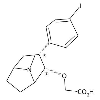 CN1C2CCC1[C@@H](OCC(=O)O)[C@@H](c1ccc(I)cc1)C2